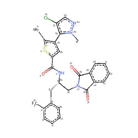 CCCc1sc(C(=O)N[C@@H](Cc2ccccc2C(F)(F)F)CN2C(=O)c3ccccc3C2=O)cc1-c1c(Cl)cnn1C